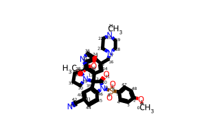 COc1ccc(S(=O)(=O)N2C(=O)C(c3cc(CN4CCN(C)CC4)ccc3OC)(N3CCC[C@H]3c3ncco3)c3cc(C#N)ccc32)cc1